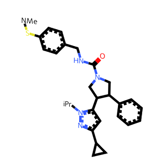 CNSc1ccc(CNC(=O)N2CC(c3ccccc3)C(c3cc(C4CC4)nn3C(C)C)C2)cc1